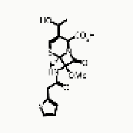 COC1(NC(=O)Cc2cccs2)C(=O)N2C(C(=O)O)C(C(C)O)=CS[C@H]21